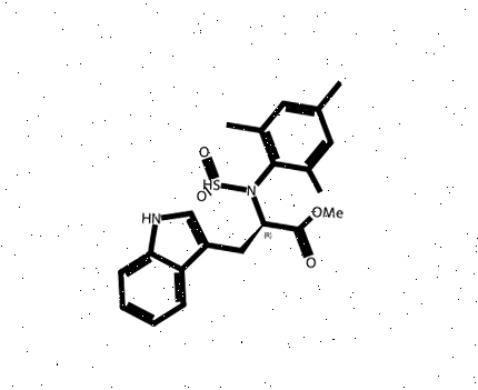 COC(=O)[C@@H](Cc1c[nH]c2ccccc12)N(c1c(C)cc(C)cc1C)[SH](=O)=O